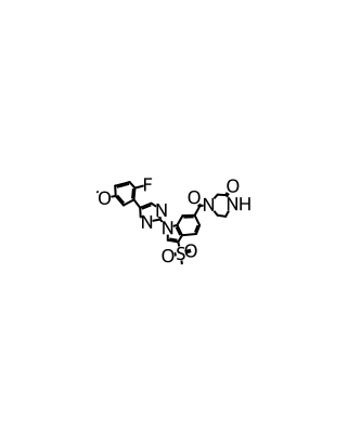 COc1ccc(F)c(-c2cnc(-n3cc(S(C)(=O)=O)c4ccc(C(=O)N5CCNC(=O)C5)cc43)nc2)c1